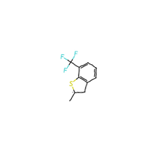 C[C]1Cc2cccc(C(F)(F)F)c2S1